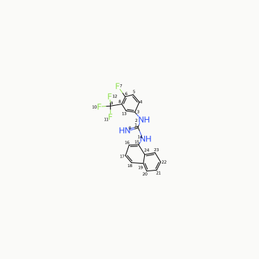 N=C(Nc1ccc(F)c(C(F)(F)F)c1)Nc1cccc2ccccc12